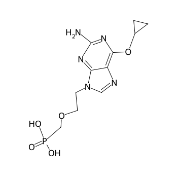 Nc1nc(OC2CC2)c2ncn(CCOCP(=O)(O)O)c2n1